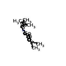 CCCCN(CCCC)c1ccc2cc(-c3ccc(/C=C/c4ccc([Si](OCC)(OCC)OCC)s4)s3)c(=O)oc2c1